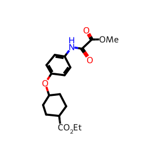 CCOC(=O)C1CCC(Oc2ccc(NC(=O)C(=O)OC)cc2)CC1